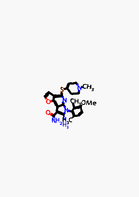 COc1ccc(C)c(-n2c(N)c(C(N)=O)c3c4occc4c(SC4CCN(C)CC4)nc32)c1C